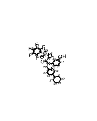 O=C([C@H]1CCN1S(=O)(=O)c1c(F)c(F)c(F)c(F)c1F)N(Cc1ccc(C2CCCCC2)cn1)c1cccc(O)c1